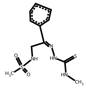 CNC(=S)NN=C(CNS(C)(=O)=O)c1ccccc1